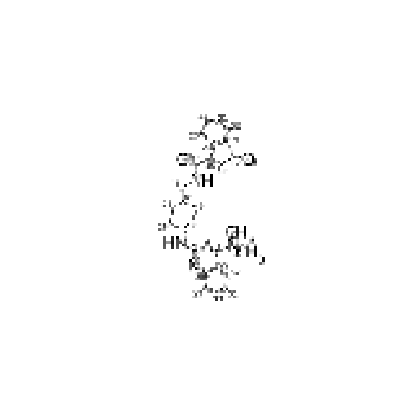 CN(C)c1cc(N[C@H]2CC[C@@H](CNC(=O)C3CC(=O)c4ccccc43)CC2)nc2ccccc12